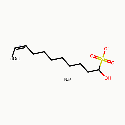 CCCCCCCC/C=C\CCCCCCCC(O)S(=O)(=O)[O-].[Na+]